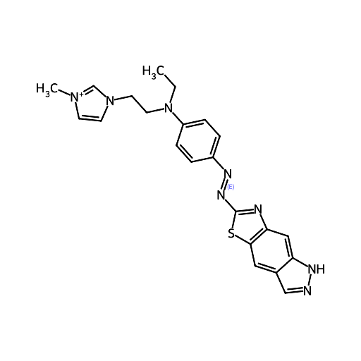 CCN(CCn1cc[n+](C)c1)c1ccc(/N=N/c2nc3cc4[nH]ncc4cc3s2)cc1